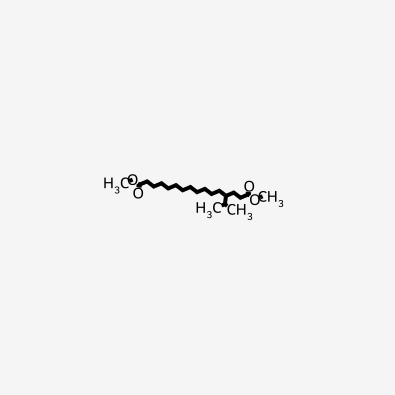 COC(=O)CCCCCCCCCCCC(CCC(=O)OC)C(C)C